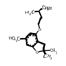 COC(C)CCOc1cc(C(=O)O)cc2c1CC(C)(C)O2